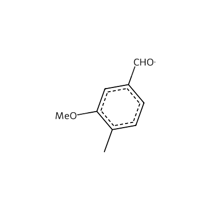 COc1cc([C]=O)ccc1C